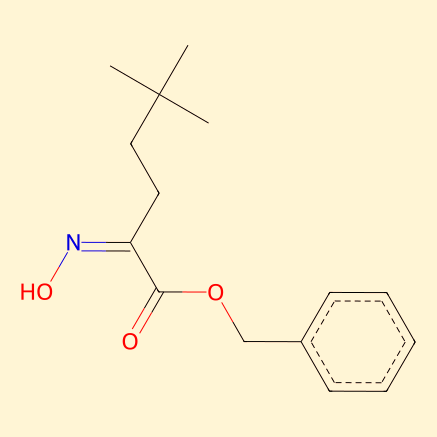 CC(C)(C)CC/C(=N/O)C(=O)OCc1ccccc1